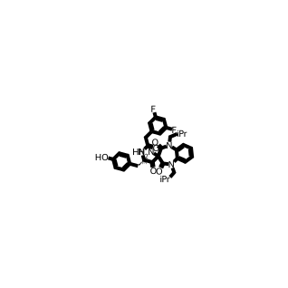 CC(C)CN1C(=O)C(N)(C(=O)[C@H](Cc2ccc(O)cc2)NC(=O)Cc2cc(F)cc(F)c2)C(=O)N(CC(C)C)c2ccccc21